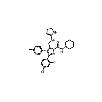 Cc1ccc(-c2c(CNC3=NCCN3)c(C(=O)NN3CCCCC3)nn2-c2ccc(Cl)cc2Cl)cc1